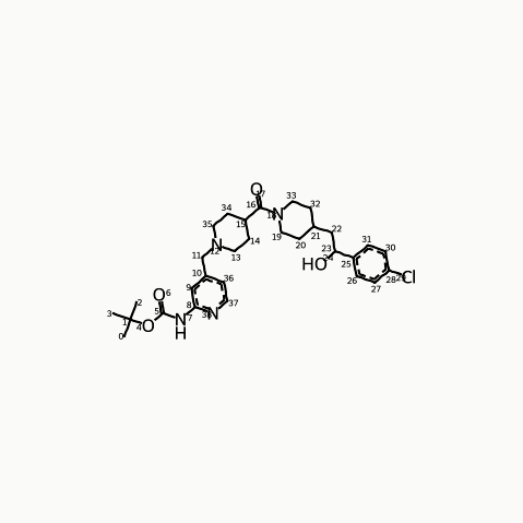 CC(C)(C)OC(=O)Nc1cc(CN2CCC(C(=O)N3CCC(CC(O)c4ccc(Cl)cc4)CC3)CC2)ccn1